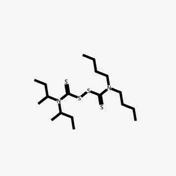 CCCCN(CCCC)C(=S)SSC(=S)N(C(C)CC)C(C)CC